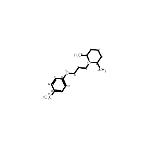 CC1CCCC(C)N1CCCOc1ccc(C(=O)O)cc1